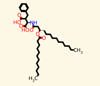 CCCCCCCCCCCC(=O)O[C@@H](CCCCCCCCCCC)CC(=O)N[C@@H](C(=O)O)C(Cc1ccccc1)C(=O)O